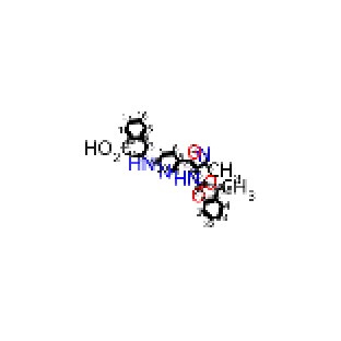 Cc1noc(-c2ccc(NC(CC(=O)O)Cc3ccccc3)nc2)c1NC(=O)OC(C)c1ccccc1